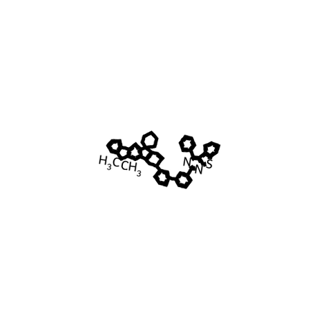 CC1(C)c2ccccc2-c2cc3c(cc21)C1=C(C=CC(c2cccc(-c4cccc(-c5nc(-c6ccccc6)c6c(n5)sc5ccccc56)c4)c2)C1)C31CCCCC1